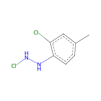 Cc1ccc(NNCl)c(Cl)c1